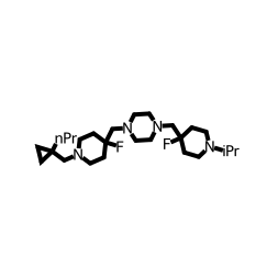 CCCC1(CN2CCC(F)(CN3CCN(CC4(F)CCN(C(C)C)CC4)CC3)CC2)CC1